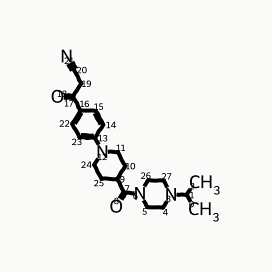 CC(C)N1CCN(C(=O)C2CCN(c3ccc(C(=O)CC#N)cc3)CC2)CC1